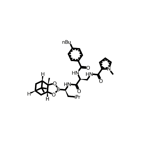 CCCCc1ccc(C(=O)N[C@@H](CNC(=O)c2cccn2C)C(=O)N[C@@H](CC(C)C)B2O[C@@H]3C[C@@H]4C[C@@H](C4(C)C)[C@]3(C)O2)cc1